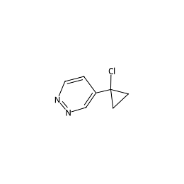 ClC1(c2ccnnc2)CC1